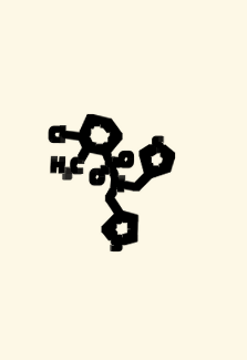 Cc1c(Cl)cccc1S(=O)(=O)N(Cc1ccsc1)Cc1ccsc1